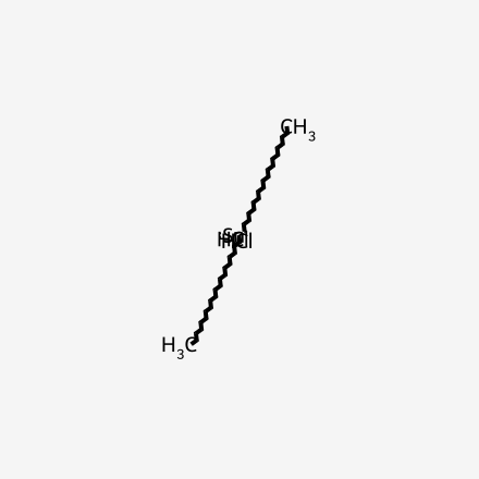 CCCCCCCCCCCCCCCCCCC[CH2][Sn][CH2]CCCCCCCCCCCCCCCCCCC.Cl.Cl